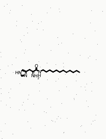 CCCCCCCCCCCCNC(=O)[C@@H](N)Cc1c[nH]cn1